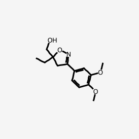 CCC1(CO)CC(c2ccc(OC)c(OC)c2)=NO1